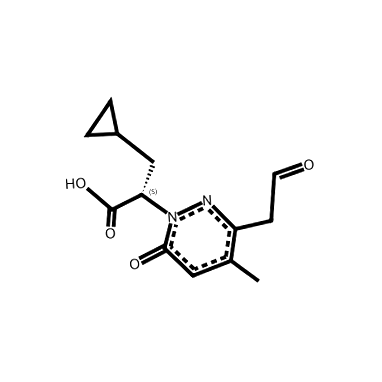 Cc1cc(=O)n([C@@H](CC2CC2)C(=O)O)nc1CC=O